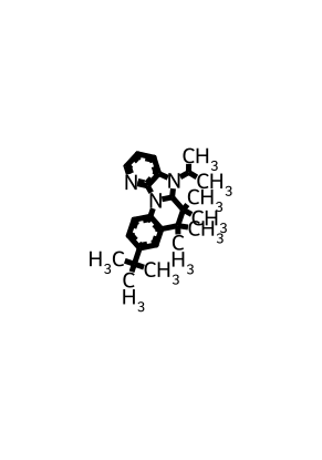 CC(C)N1c2cccnc2N2c3ccc(C(C)(C)C)cc3C(C)(C)C(C)(C)C21